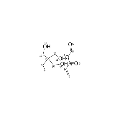 C=CC(=O)OC=O.CCC(CO)(CO)CO